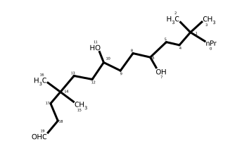 CCCC(C)(C)CCC(O)CCC(O)CCC(C)(C)CCC=O